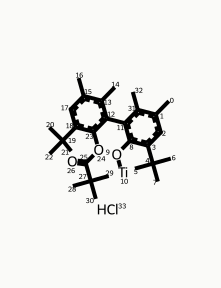 Cc1cc(C(C)(C)C)c([O][Ti])c(-c2c(C)c(C)cc(C(C)(C)C)c2OC(=O)C(C)(C)C)c1C.Cl